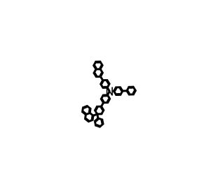 C1=CC(c2ccccc2)(c2cccc3ccccc23)CC=C1c1ccc(N(c2ccc(-c3ccccc3)cc2)c2ccc(-c3ccc4ccccc4c3)cc2)cc1